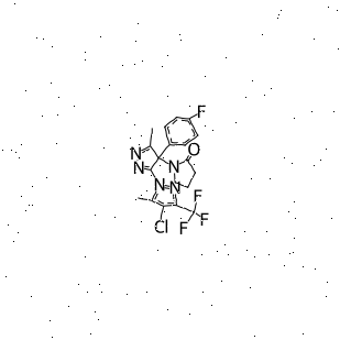 CC1=NN=C(n2nc(C(F)(F)F)c(Cl)c2C)C1(c1ccc(F)cc1)N1CCCC1=O